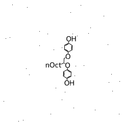 CCCCCCCCC(COc1ccc(O)cc1)Oc1ccc(O)cc1